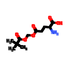 CC(C)(C)C(=O)OCOC(=O)CCC(N)C(=O)O